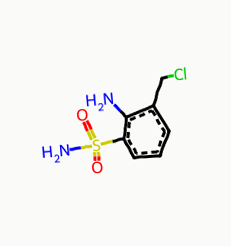 Nc1c(CCl)cccc1S(N)(=O)=O